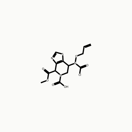 C=CCON(C(=O)Cl)C1CN(C(=O)O)C(C(=O)OC)c2ncsc21